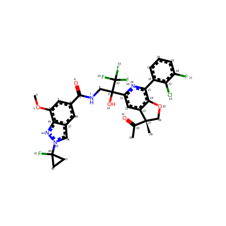 COc1cc(C(=O)NCC(O)(c2cc3c(c(-c4cccc(F)c4Cl)n2)OC[C@]3(C)C(C)=O)C(F)(F)F)cc2cn(C3(F)CC3)nc12